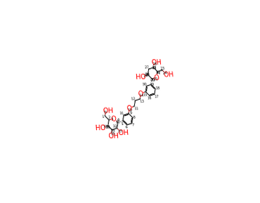 OCC1O[C@H](c2cccc(OCCCOc3cccc([C@H]4O[C@H](CO)[C@@H](O)C[C@@H]4O)c3)c2)C(O)C(O)[C@@H]1O